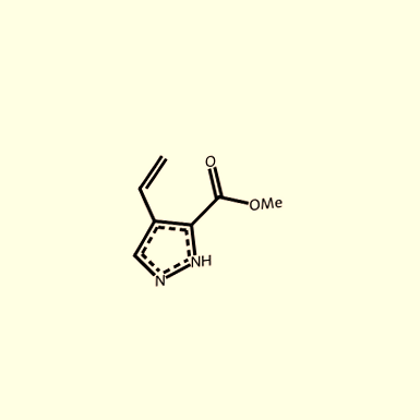 C=Cc1cn[nH]c1C(=O)OC